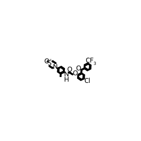 Cc1cc(N2CC[S+]([O-])CC2)ccc1NC(=O)COc1ccc(Cl)cc1C(=O)c1cccc(C(F)(F)F)c1